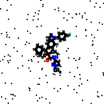 Cn1ccc(NC(=O)C(C)(C)C(c2ccccc2)c2ccc3c(cnn3-c3ccc(F)cc3)c2)n1